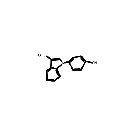 N#Cc1ccc(-n2cc(C=O)c3ccccc32)cc1